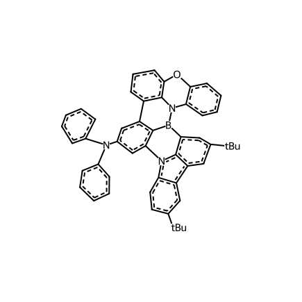 CC(C)(C)c1ccc2c(c1)c1cc(C(C)(C)C)cc3c1n2-c1cc(N(c2ccccc2)c2ccccc2)cc2c1B3N1c3ccccc3Oc3cccc-2c31